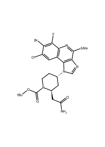 CSc1nc2c(F)c(Br)c(Cl)cc2c2c1ncn2[C@H]1CCN(C(=O)OC(C)(C)C)[C@H](CC(N)=O)C1